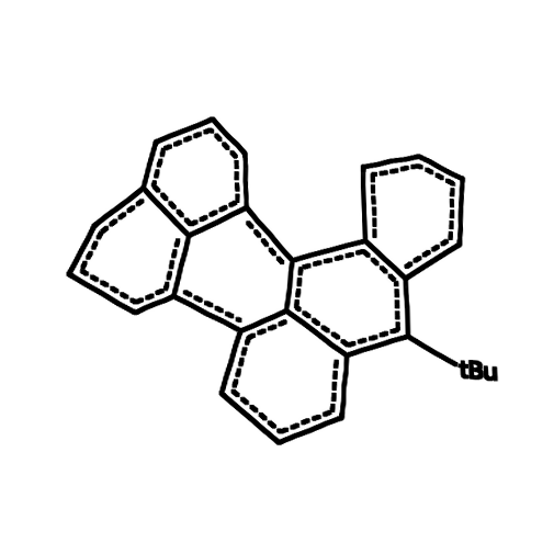 CC(C)(C)c1c2ccccc2c2c3cccc4cccc(c5cccc1c52)c43